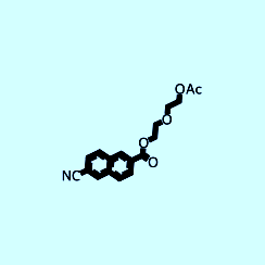 CC(=O)OCCOCCOC(=O)c1ccc2cc(C#N)ccc2c1